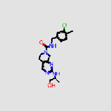 Cc1ccc(CNC(=O)N2CCc3cnc(N[C@@H](C)CO)nc3C2)cc1Cl